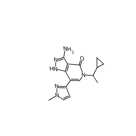 CC(C1CC1)n1cc(-c2ccn(C)n2)c2[nH]nc(N)c2c1=O